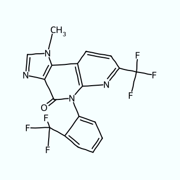 Cn1cnc2c(=O)n(-c3ccccc3C(F)(F)F)c3nc(C(F)(F)F)ccc3c21